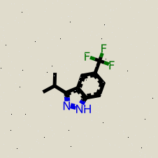 CC(C)c1n[nH]c2ccc(C(F)(F)F)cc12